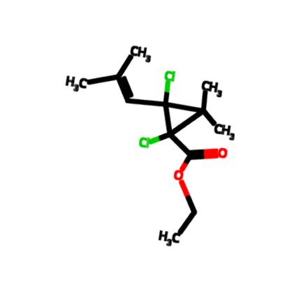 CCOC(=O)C1(Cl)C(C)(C)C1(Cl)C=C(C)C